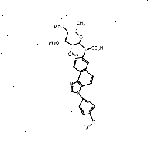 CO[C@@H]1[C@@H](OC)[C@H](C)O[C@@H](N(C(=O)O)c2ccc3c(ccc4c3ncn4-c3ccc(OC(F)(F)F)cc3)c2)[C@@H]1OC